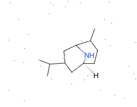 CC(C)C1CC2N[C@@H](CCC2C)C1